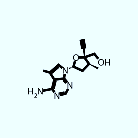 C#C[C@]1(CO)O[C@@H](n2cc(C)c3c(N)ncnc32)C[C@@H]1C